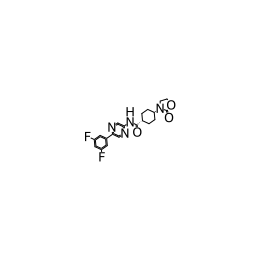 O=C1OCCN1[C@H]1CC[C@@H](C(=O)Nc2cnc(-c3cc(F)cc(F)c3)cn2)CC1